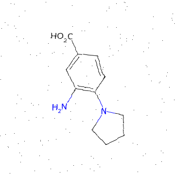 Nc1cc(C(=O)O)ccc1N1CCCC1